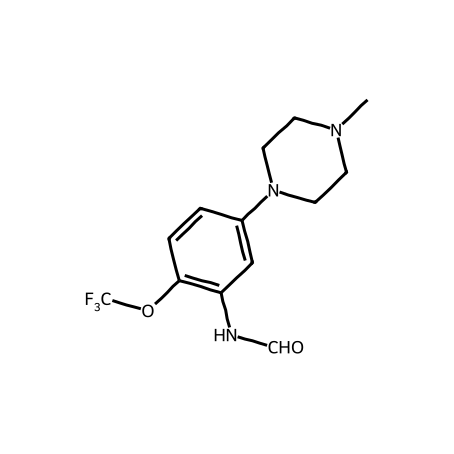 CN1CCN(c2ccc(OC(F)(F)F)c(NC=O)c2)CC1